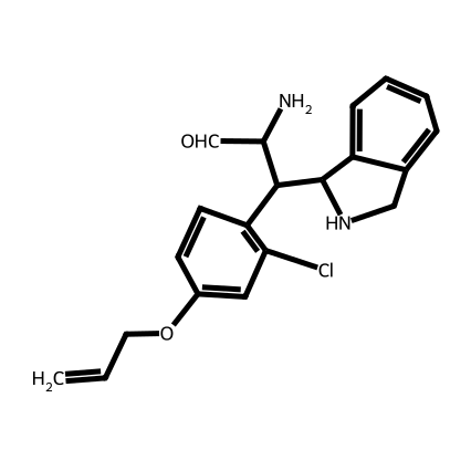 C=CCOc1ccc(C(C(N)C=O)C2NCc3ccccc32)c(Cl)c1